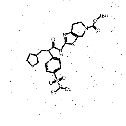 CCN(CC)S(=O)(=O)c1ccc(C(CC2CCCC2)C(=O)Nc2nc3c(s2)CN(C(=O)OC(C)(C)C)CC3)cc1